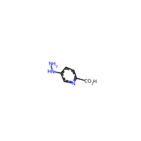 NNc1ccc(C(=O)O)nc1